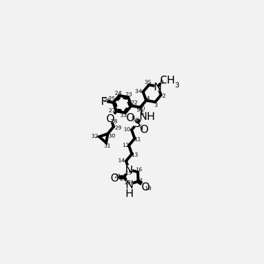 CN1CCC([C@@H](NS(=O)(=O)CCCCCN2CC(=O)NC2=O)c2ccc(F)c(OCC3CC3)c2)CC1